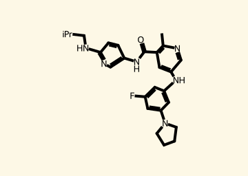 Cc1ncc(Nc2cc(F)cc(N3CCCC3)c2)cc1C(=O)Nc1ccc(NCC(C)C)nc1